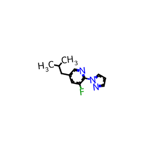 CC(C)Cc1cnc(-n2cccn2)c(F)c1